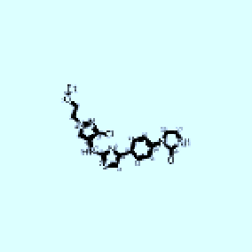 CCOCCn1cc(Nc2nc(-c3ccc(N4CCNC4=O)cc3)cs2)c(Cl)n1